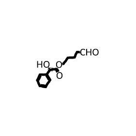 O=CCCCCOC(=O)[C@@H](O)c1ccccc1